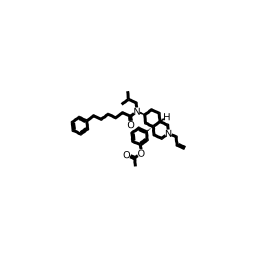 C=CCN1CC[C@@]2(c3cccc(OC(C)=O)c3)C[C@@H](N(CC(C)C)C(=O)CCCCCc3ccccc3)CC[C@@H]2C1